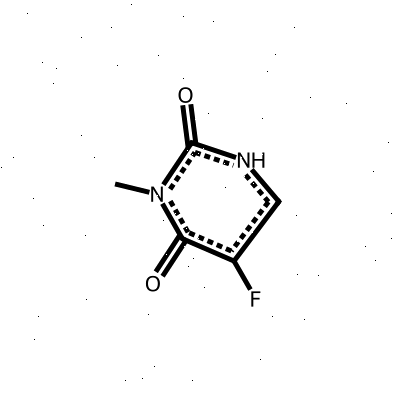 Cn1c(=O)[nH]cc(F)c1=O